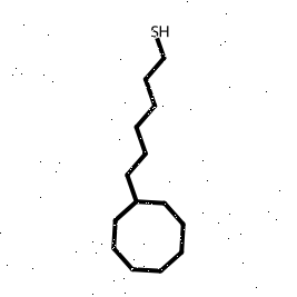 SCCCCCCC1CCCCCCC1